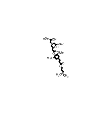 CCCCCCCCCCC(O)CN(CCCC(=O)Oc1c(OC)cc(/C=C/C(=O)OCCCN(C)C)cc1OC)CC(O)CCCCCCCCCC